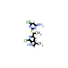 CC(Sc1nc(N)cc(Cl)n1)c1cc2c(C(F)(F)F)c[nH]c2c(Cl)n1